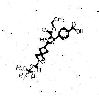 CCOC(=O)c1[nH]c(C2CC3(C2)CN(C(=O)OC(C)(C)C)C3)nc1-c1ccc(C(=O)O)cc1